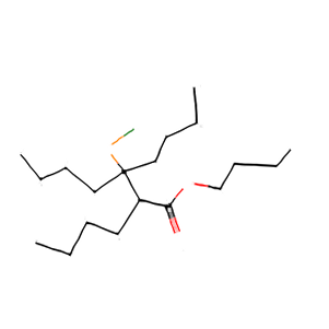 CCCCOC(=O)C(CCCC)C(CCCC)(CCCC)PCl